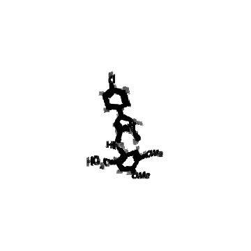 COc1cc(Nc2cc(-c3ccc(Cl)cc3)nn2C)c(C(=O)O)cc1OC